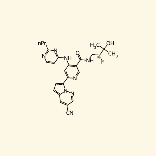 CCCc1nccc(Nc2cc(-c3ccc4cc(C#N)cnn34)ncc2C(=O)NC[C@@H](F)C(C)(C)O)n1